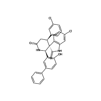 O=C1C[C@@H](c2cccc(Cl)c2)[C@]2(C(=O)Nc3cc(Cl)ccc32)[C@@H](c2cc(-c3ccccc3)ccc2O)N1